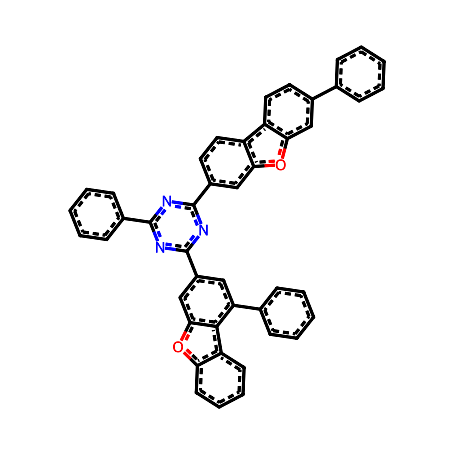 c1ccc(-c2ccc3c(c2)oc2cc(-c4nc(-c5ccccc5)nc(-c5cc(-c6ccccc6)c6c(c5)oc5ccccc56)n4)ccc23)cc1